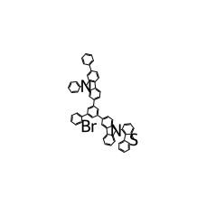 Brc1ccccc1-c1cc(-c2ccc3c(c2)c2ccccc2n3-c2cccc3sc4ccccc4c23)cc(-c2ccc3c4ccc(-c5ccccc5)cc4n(-c4ccccc4)c3c2)c1